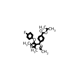 C=NOC(c1ccc(C(=O)OC(C)C)cc1)c1c(C)nn(C)c1Oc1ccc(F)cc1